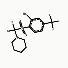 O=S(=O)(c1ccc(C(F)(F)F)cc1Br)C(F)(F)N1CCCCC1